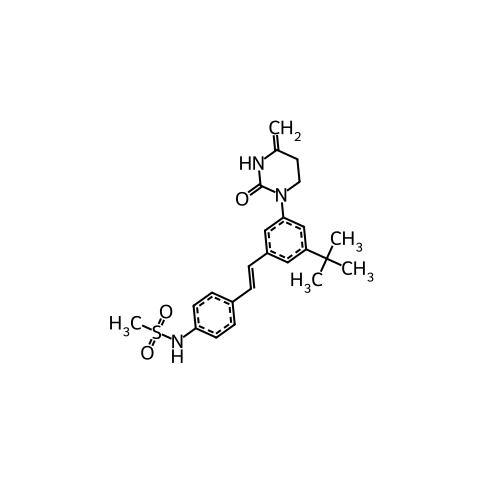 C=C1CCN(c2cc(/C=C/c3ccc(NS(C)(=O)=O)cc3)cc(C(C)(C)C)c2)C(=O)N1